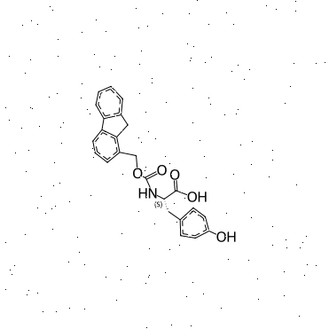 O=C(N[C@@H](Cc1ccc(O)cc1)C(=O)O)OCc1cccc2c1Cc1ccccc1-2